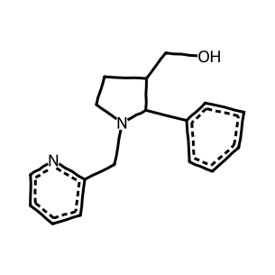 OCC1CCN(Cc2ccccn2)C1c1ccccc1